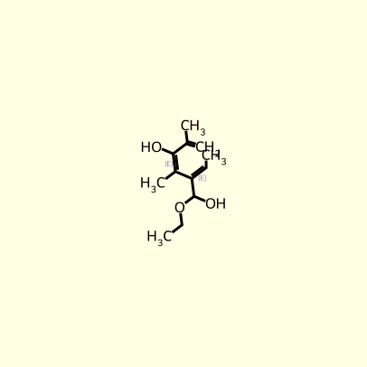 C=C(C)/C(O)=C(C)\C(=C/C)C(O)OCC